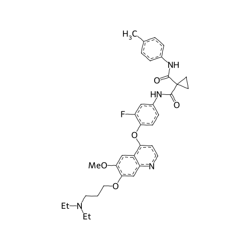 CCN(CC)CCCOc1cc2nccc(Oc3ccc(NC(=O)C4(C(=O)Nc5ccc(C)cc5)CC4)cc3F)c2cc1OC